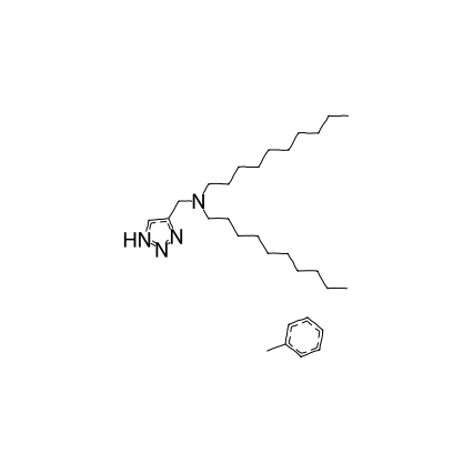 CCCCCCCCCCN(CCCCCCCCCC)Cc1c[nH]nn1.Cc1ccccc1